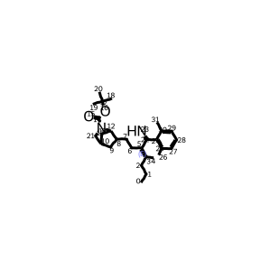 CCC/C(C)=C(\CCC1CC2CC1N(C(=O)OC(C)(C)C)C2)C(=N)c1c(C)cccc1C